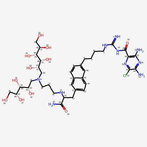 N=C(NCCCCc1ccc2cc(CC(NCCCN(C[C@H](O)[C@@H](O)[C@H](O)[C@H](O)CO)C[C@H](O)[C@@H](O)[C@H](O)CO)C(N)=O)ccc2c1)NC(=O)c1nc(Cl)c(N)nc1N